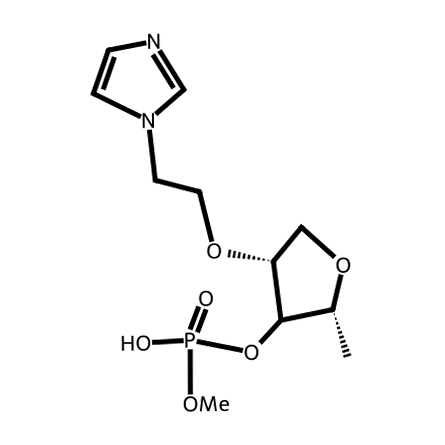 COP(=O)(O)OC1[C@@H](C)OC[C@H]1OCCn1ccnc1